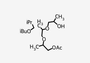 CC(=O)OCC(C)OCC(C)OCC(C)O.CC(C)COCC(C)C